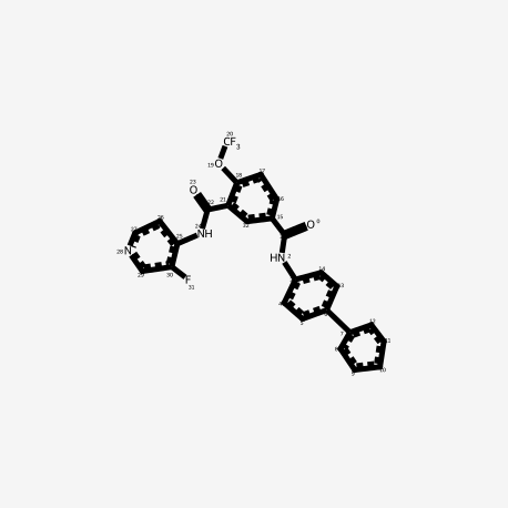 O=C(Nc1ccc(-c2ccccc2)cc1)c1ccc(OC(F)(F)F)c(C(=O)Nc2ccncc2F)c1